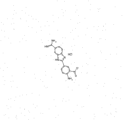 Cl.N=C(N)c1ccc2nc(-c3ccc(N)c([N+](=O)[O-])c3)[nH]c2c1